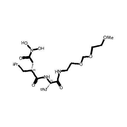 COCCOCOCCNC(=O)[C@@H](NC(=O)[C@@H](CC(=O)N(O)O)CC(C)C)C(C)(C)C